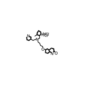 Cc1ccccc1CN(CCCCOc1ccc2c(ccc(=O)n2C)c1)CCc1cccnc1.Cl.Cl